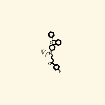 Br.CN(CCCC(=O)c1ccc(F)cc1)C1CCC2(CC1)O[C@H](c1ccccc1)c1ccccc12